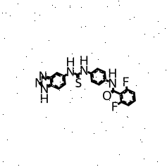 O=C(Nc1ccc(NC(=S)Nc2ccc3[nH]nnc3c2)cc1)c1c(F)cccc1F